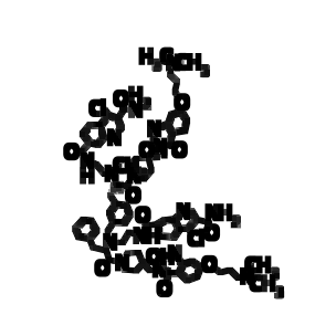 CN(C)CCCOc1ccc2c(=O)n(CC3(O)CCN(C(=O)C(Cc4ccccc4)N(CCNC(=O)c4ccc5c(Cl)c(C(N)=O)cnc5c4)Cc4cccc(C[C@@H](C(=O)N5CCC(O)(Cn6cnc7cc(OCCCN(C)C)ccc7c6=O)CC5)N(C)CCNC(=O)c5ccc6c(Cl)c(C(N)=O)cnc6c5)c4)CC3)cnc2c1